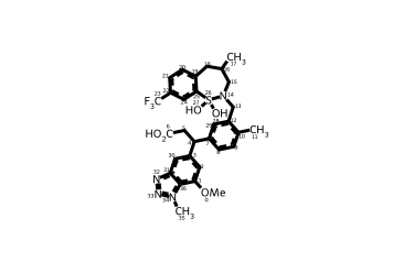 COc1cc(C(CC(=O)O)c2ccc(C)c(CN3CC(C)Cc4ccc(C(F)(F)F)cc4S3(O)O)c2)cc2nnn(C)c12